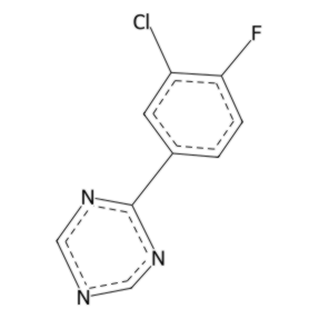 Fc1ccc(-c2ncncn2)cc1Cl